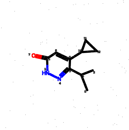 CC(C)c1n[nH]c(=O)cc1C1CC1